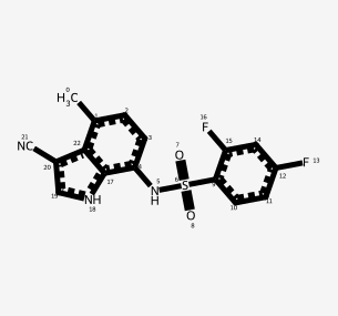 Cc1ccc(NS(=O)(=O)c2ccc(F)cc2F)c2[nH]cc(C#N)c12